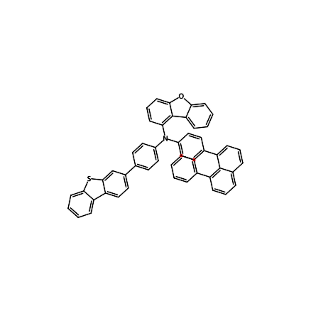 c1ccc(-c2cccc3cccc(-c4ccc(N(c5ccc(-c6ccc7c(c6)sc6ccccc67)cc5)c5cccc6oc7ccccc7c56)cc4)c23)cc1